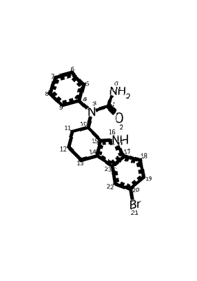 NC(=O)N(c1ccccc1)C1CCCc2c1[nH]c1ccc(Br)cc21